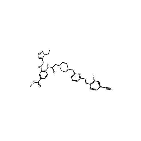 CCn1cncc1CNc1cc(C(=O)OC)ccc1NC(=O)CN1CCC(Sc2cccc(COc3ccc(C#N)cc3F)n2)CC1